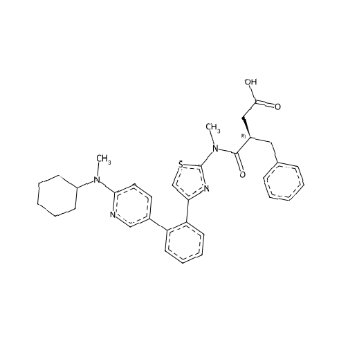 CN(C(=O)[C@@H](CC(=O)O)Cc1ccccc1)c1nc(-c2ccccc2-c2ccc(N(C)C3CCCCC3)nc2)cs1